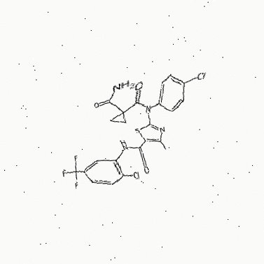 Cc1nc(N(C(=O)C2(C(N)=O)CC2)c2ccc(Cl)cc2)sc1C(=O)Nc1cc(C(F)(F)F)ccc1Cl